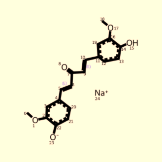 COc1cc(/C=C/C(=O)/C=C/c2ccc(O)c(OC)c2)ccc1[O-].[Na+]